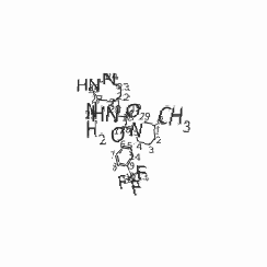 C[C@H]1CC[C@H](c2cccc(C(F)(F)F)c2)N(C(=O)C(=O)N[C@H]2CC=NNCC2N)C1